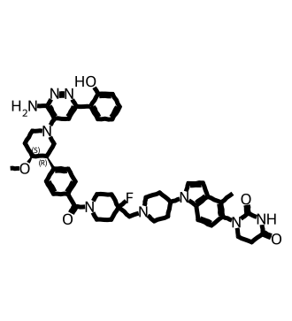 CO[C@H]1CCN(c2cc(-c3ccccc3O)nnc2N)C[C@H]1c1ccc(C(=O)N2CCC(F)(CN3CCC(n4ccc5c(C)c(N6CCC(=O)NC6=O)ccc54)CC3)CC2)cc1